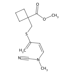 C=C(/C=C\N(C)C#N)SCC1(C(=O)OC)CCC1